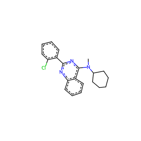 CN(c1nc(-c2ccccc2Cl)nc2ccccc12)C1CCCCC1